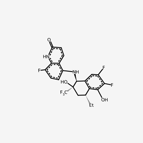 CC[C@@H]1C[C@](O)(C(F)(F)F)[C@@H](Nc2ccc(F)c3[nH]c(=O)ccc23)c2cc(F)c(F)c(O)c21